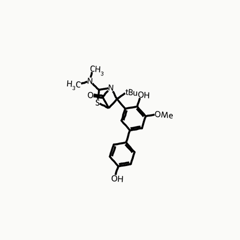 COc1cc(-c2ccc(O)cc2)cc(C2(C(C)(C)C)C3SC(N(C)C)N2C3=O)c1O